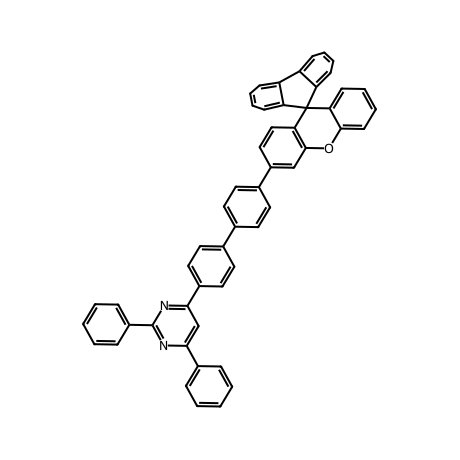 c1ccc(-c2cc(-c3ccc(-c4ccc(-c5ccc6c(c5)Oc5ccccc5C65c6ccccc6-c6ccccc65)cc4)cc3)nc(-c3ccccc3)n2)cc1